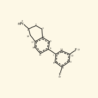 CCCC1CCc2cc(-c3cc(F)cc(F)c3)ccc2C1